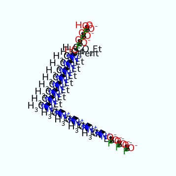 CCCCCC.CCO.CCOC(C)=O.CC[n+]1ccn(C)c1.CC[n+]1ccn(C)c1.CC[n+]1ccn(C)c1.CC[n+]1ccn(C)c1.CC[n+]1ccn(C)c1.CC[n+]1ccn(C)c1.CC[n+]1ccn(C)c1.CC[n+]1ccn(C)c1.CC[n+]1ccn(C)c1.CC[n+]1ccn(C)c1.CC[n+]1ccn(C)c1.CC[n+]1ccn(C)c1.O.[O-]B([O-])F.[O-]B([O-])F.[O-]B([O-])F.[O-]B([O-])F.[O-]B([O-])F.[O-]B([O-])F